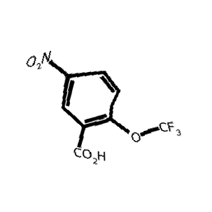 O=C(O)c1cc([N+](=O)[O-])ccc1OC(F)(F)F